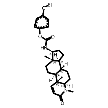 CCOc1ccc(OC(=O)N[C@H]2CC[C@H]3[C@@H]4CC[C@H]5N(C)C(=O)C=C[C@]5(C)[C@H]4CC[C@]23C)cc1